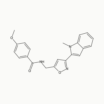 COc1ccc(C(=O)NCc2cc(-c3cc4ccccc4n3C)no2)cc1